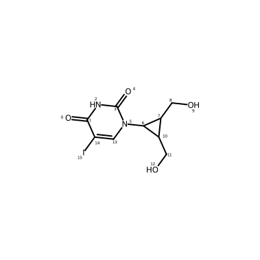 O=c1[nH]c(=O)n(C2C(CO)C2CO)cc1I